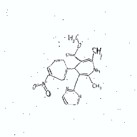 COC(=O)C1=C(C)NC(C)=C(c2ncccn2)C1c1cccc([N+](=O)[O-])c1